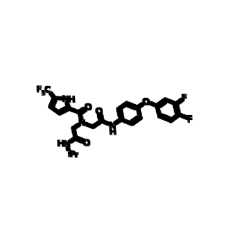 CC(C)NC(=O)CN(CC(=O)Nc1ccc(Oc2ccc(F)c(F)c2)cc1)C(=O)c1ccc(C(F)(F)F)[nH]1